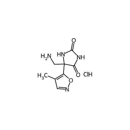 Cc1cnoc1C1(CN)NC(=O)NC1=O.Cl